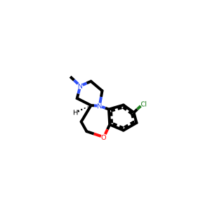 CN1CCN2c3cc(Cl)ccc3OCC[C@H]2C1